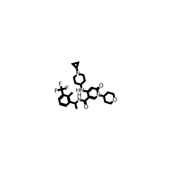 Cc1c(C(C)NC(=O)c2cn(C3CCOCC3)c(=O)cc2NC2CCN(C3CC3)CC2)cccc1C(F)(F)F